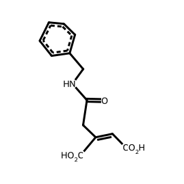 O=C(O)C=C(CC(=O)NCc1ccccc1)C(=O)O